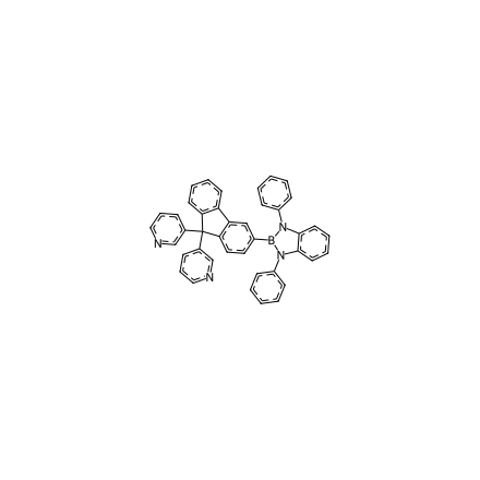 c1ccc(N2B(c3ccc4c(c3)-c3ccccc3C4(c3cccnc3)c3cccnc3)N(c3ccccc3)c3ccccc32)cc1